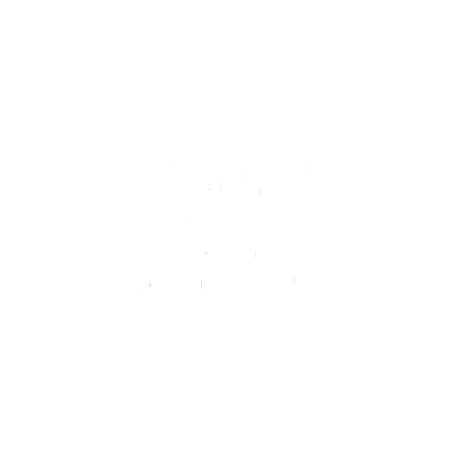 C[SiH]1O[SiH](C)O[Si](C)(OC(C)(C)C)O[SiH](C)O1